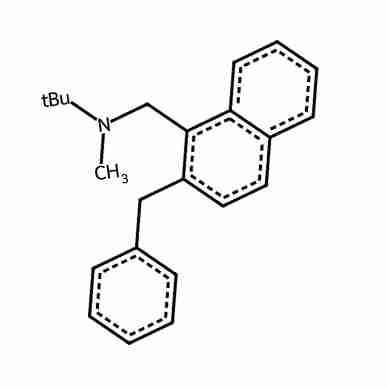 CN(Cc1c(Cc2ccccc2)ccc2ccccc12)C(C)(C)C